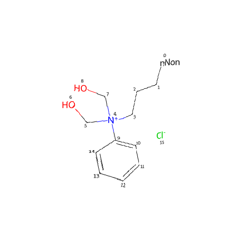 CCCCCCCCCCCC[N+](CO)(CO)c1ccccc1.[Cl-]